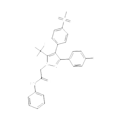 CS(=O)(=O)c1ccc(-c2c(-c3ccc(F)cc3)nn(CC(=O)Nc3ccccc3)c2C(F)(F)F)cc1